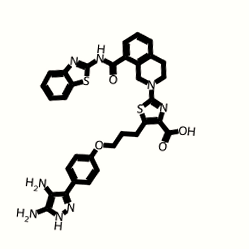 Nc1[nH]nc(-c2ccc(OCCCc3sc(N4CCc5cccc(C(=O)Nc6nc7ccccc7s6)c5C4)nc3C(=O)O)cc2)c1N